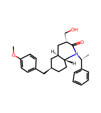 COc1ccc(C[C@@H]2CC[C@@H]3[C@@H](C2)C[C@H](CO)C(=O)N3[C@H](C)c2ccccc2)cc1